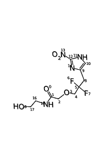 O=C(COCC(F)(F)Cc1c[nH]c([N+](=O)[O-])n1)NCCO